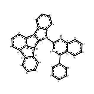 c1ccc(-c2nc(-n3c4ccccc4c4c3c3c5ccccc5c5cccc4n53)nc3ccccc23)cc1